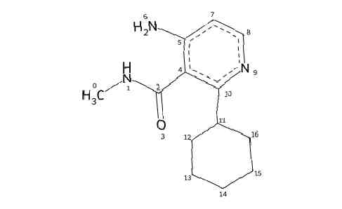 CNC(=O)c1c(N)ccnc1C1CCCCC1